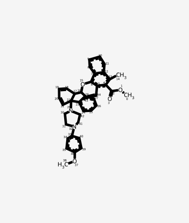 COC(=O)c1c2c(c3ccccc3c1C)OC(C1C=CC=CC1(c1ccccc1)N1CCN(c3ccc(OC)cc3)CC1)C=C2